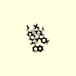 CCO[C@@H]1C[C@@H]2CN(C(=O)[C@@H](NC(=O)[C@@H](CF)N(CC(C)(C)C)C(=O)O)C3CCC(F)(F)CC3)[C@H](C(=O)N[C@@H]3CCOc4ccccc43)CN2C1